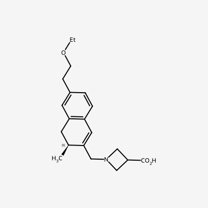 CCOCCc1ccc2c(c1)C[C@H](C)C(CN1CC(C(=O)O)C1)=C2